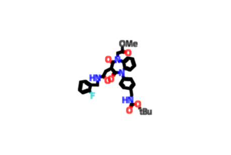 COC(=O)CN1C(=O)C(CC(=O)NCc2ccccc2F)C(=O)N(c2ccc(CNC(=O)OC(C)(C)C)cc2)c2ccccc21